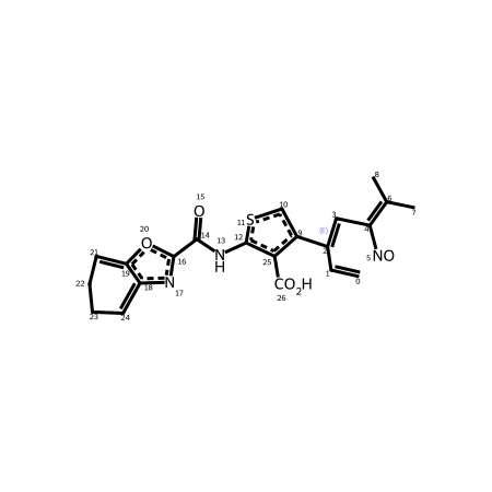 C=C/C(=C\C(N=O)=C(C)C)c1csc(NC(=O)c2nc3c(o2)=CCCC=3)c1C(=O)O